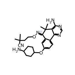 CC(C)(C#N)CCO/N=C1\c2cc(OC3CCC(N)CC3)ccc2-c2ncnc(N)c2C1(C)C